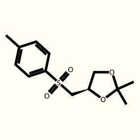 Cc1ccc(S(=O)(=O)C[C@H]2COC(C)(C)O2)cc1